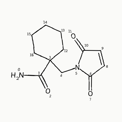 NC(=O)C1(CN2C(=O)C=CC2=O)CCCCC1